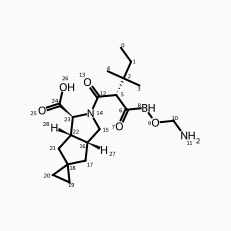 CCC(C)(C)[C@H](C(=O)BOCN)C(=O)N1C[C@@H]2CC3(CC3)C[C@@H]2[C@H]1C(=O)O